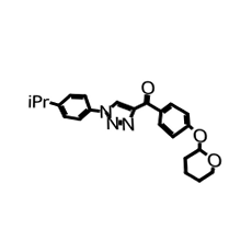 CC(C)c1ccc(-n2cc(C(=O)c3ccc(OC4CCCCO4)cc3)nn2)cc1